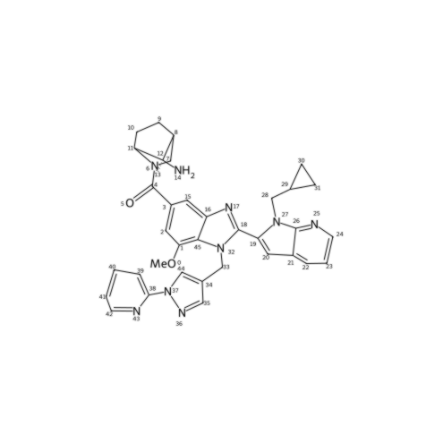 COc1cc(C(=O)N2CC3CCC2[C@]3(C)N)cc2nc(-c3cc4cccnc4n3CC3CC3)n(Cc3cnn(-c4ccccn4)c3)c12